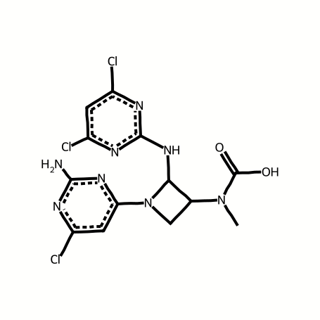 CN(C(=O)O)C1CN(c2cc(Cl)nc(N)n2)C1Nc1nc(Cl)cc(Cl)n1